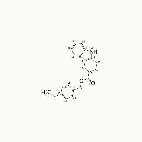 CCc1ccc(COC(=O)C2CCc3[nH]c4ccccc4c3C2)cc1